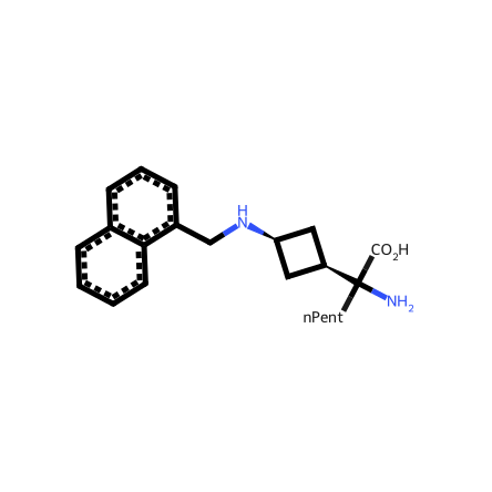 CCCCCC(N)(C(=O)O)[C@H]1C[C@@H](NCc2cccc3ccccc23)C1